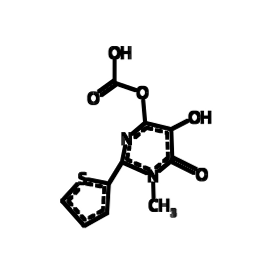 Cn1c(-c2cccs2)nc(OC(=O)O)c(O)c1=O